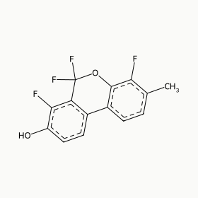 Cc1ccc2c(c1F)OC(F)(F)c1c-2ccc(O)c1F